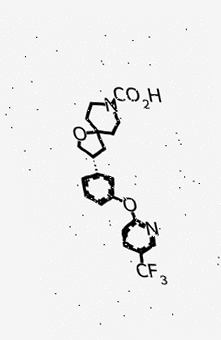 O=C(O)N1CCC2(CC1)C[C@H](c1cccc(Oc3ccc(C(F)(F)F)cn3)c1)CO2